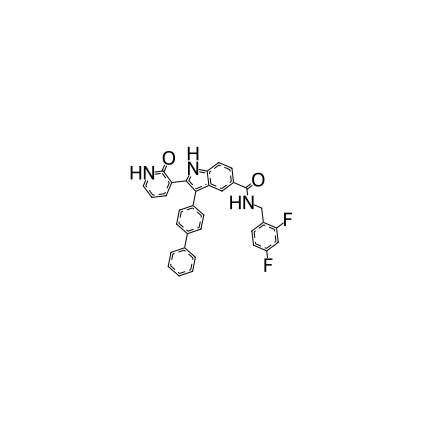 O=C(NCc1ccc(F)cc1F)c1ccc2[nH]c(-c3ccc[nH]c3=O)c(-c3ccc(-c4ccccc4)cc3)c2c1